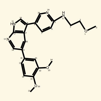 COCCNc1ccc(-c2c[nH]c3ncc(-c4ccc(OC)c(OC)c4)cc23)cn1